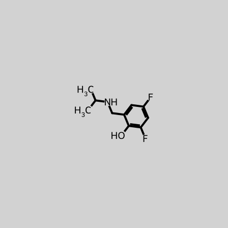 CC(C)NCc1cc(F)cc(F)c1O